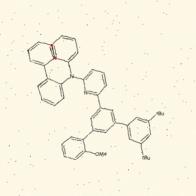 COc1ccccc1-c1cc(-c2cc(C(C)(C)C)cc(C(C)(C)C)c2)cc(-c2cccc(N(c3ccccn3)c3ccccc3-c3ccccc3)n2)c1